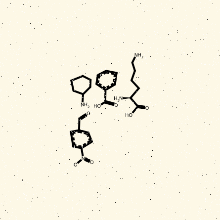 NC1CCCCC1.NCCCC[C@H](N)C(=O)O.O=C(O)c1ccccc1.O=Cc1ccc([N+](=O)[O-])cc1